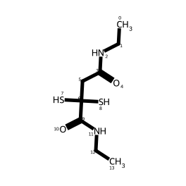 CCNC(=O)CC(S)(S)C(=O)NCC